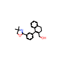 CC1(C)COC(c2cccc(C3=C(CO)CCc4ccccc43)c2)=N1